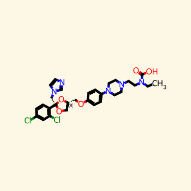 CCN(CCN1CCN(c2ccc(OC[C@@H]3CO[C@@](Cn4ccnc4)(c4ccc(Cl)cc4Cl)O3)cc2)CC1)C(=O)O